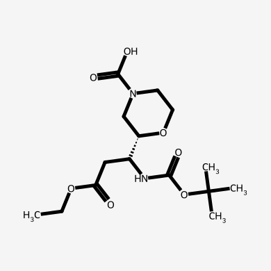 CCOC(=O)CC(NC(=O)OC(C)(C)C)[C@@H]1CN(C(=O)O)CCO1